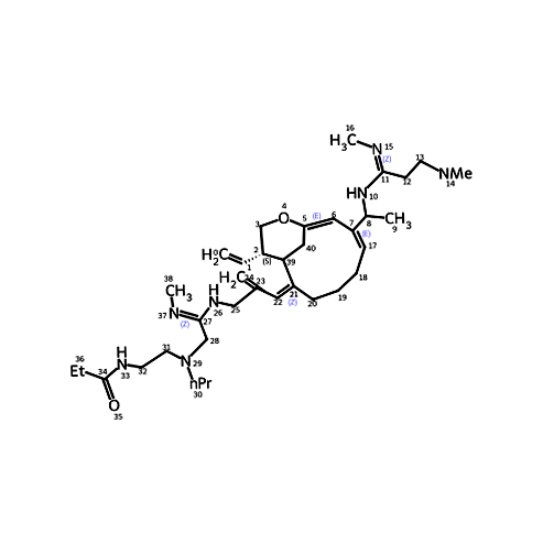 C=C[C@@H]1CO/C2=C/C(C(C)N/C(CCNC)=N\C)=C\CCC/C(=C/C(=C)CN/C(CN(CCC)CCNC(=O)CC)=N\C)C1C2